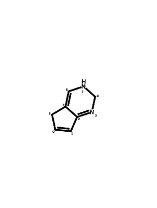 C1=CC2=NCNC=C2C1